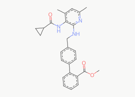 COC(=O)c1ccccc1-c1ccc(CNc2nc(C)cc(C)c2NC(=O)C2CC2)cc1